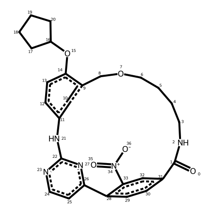 O=C1NCCCCOCc2cc(ccc2OC2CCCC2)Nc2nccc(n2)-c2ccc1cc2[N+](=O)[O-]